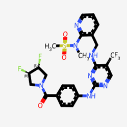 CN(c1ncccc1CNc1nc(Nc2ccc(C(=O)N3C[C@@H](F)[C@@H](F)C3)cc2)ncc1C(F)(F)F)S(C)(=O)=O